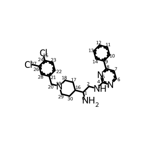 NC(CNc1nccc(-c2ccccc2)n1)C1CCN(Cc2ccc(Cl)c(Cl)c2)CC1